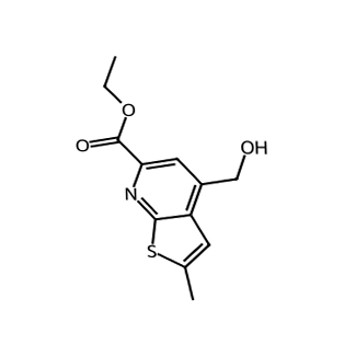 CCOC(=O)c1cc(CO)c2cc(C)sc2n1